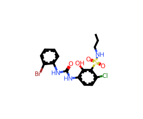 CCCNS(=O)(=O)c1c(Cl)ccc(NC(=O)Nc2ccccc2Br)c1O